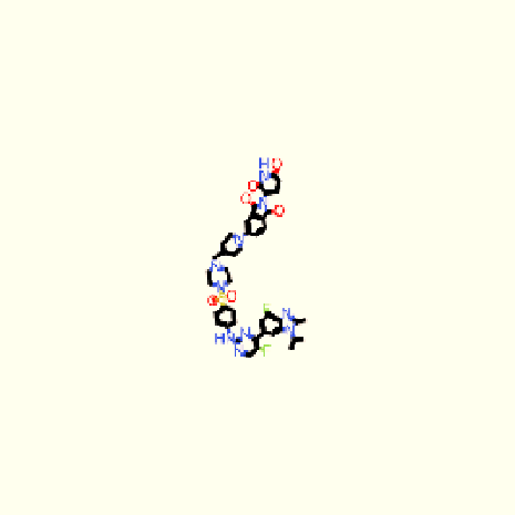 Cc1nc2c(F)cc(-c3nc(Nc4ccc(S(=O)(=O)N5CCN(CC6CCN(c7ccc8c(c7)C(=O)N(C7CCC(=O)NC7=O)C8=O)CC6)CC5)cc4)ncc3F)cc2n1C(C)C